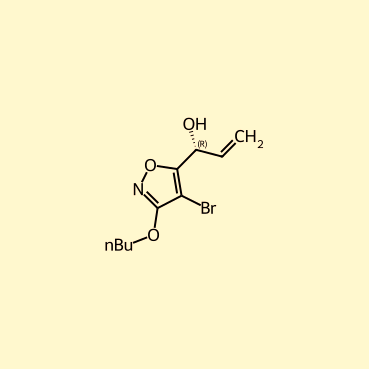 C=C[C@@H](O)c1onc(OCCCC)c1Br